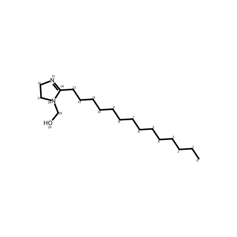 CCCCCCCCCCCCCCC1=NCCN1CO